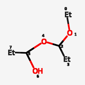 CCOC(CC)OC(O)CC